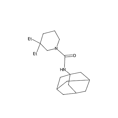 CCC1(CC)CCCN(C(=O)NC23CC4CC(CC(C4)C2)C3)C1